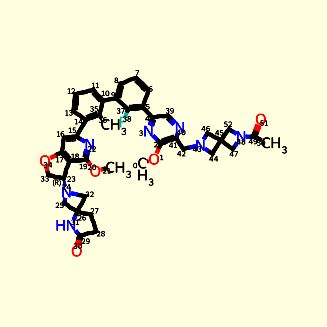 COc1nc(-c2cccc(-c3cccc(-c4cc5c(c(OC)n4)[C@@H](N4CC6(CCC(=O)N6)C4)CO5)c3C)c2F)cnc1CN1CC2(C1)CN(C(C)=O)C2